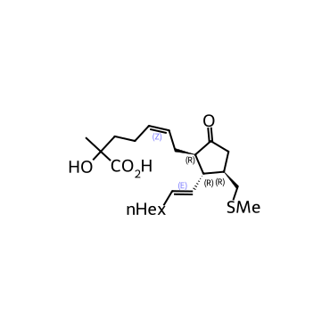 CCCCCC/C=C/[C@H]1[C@H](CSC)CC(=O)[C@@H]1C/C=C\CCC(C)(O)C(=O)O